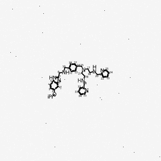 CC(C)Oc1ccc2[nH]c(CNCc3ccc(CN(CCNCc4ccccn4)CCNCc4ccccn4)cc3)nc2c1